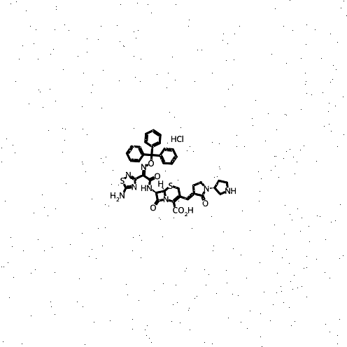 Cl.Nc1nc(/C(=N/OC(c2ccccc2)(c2ccccc2)c2ccccc2)C(=O)N[C@@H]2C(=O)N3C(C(=O)O)=C(/C=C4\CCN([C@@H]5CCNC5)C4=O)CS[C@H]23)ns1